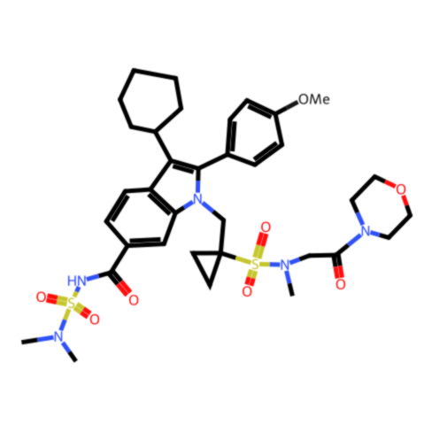 COc1ccc(-c2c(C3CCCCC3)c3ccc(C(=O)NS(=O)(=O)N(C)C)cc3n2CC2(S(=O)(=O)N(C)CC(=O)N3CCOCC3)CC2)cc1